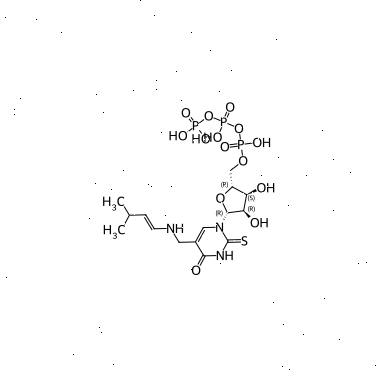 CC(C)C=CNCc1cn([C@@H]2O[C@H](COP(=O)(O)OP(=O)(O)OP(=O)(O)O)[C@@H](O)[C@H]2O)c(=S)[nH]c1=O